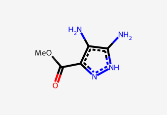 COC(=O)c1n[nH]c(N)c1N